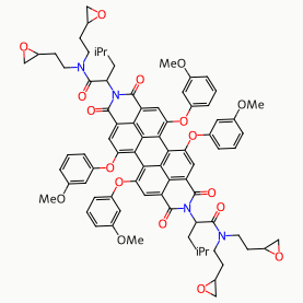 COc1cccc(Oc2cc3c4c(cc(Oc5cccc(OC)c5)c5c6c(Oc7cccc(OC)c7)cc7c8c(cc(Oc9cccc(OC)c9)c(c2c45)c86)C(=O)N(C(CC(C)C)C(=O)N(CCC2CO2)CCC2CO2)C7=O)C(=O)N(C(CC(C)C)C(=O)N(CCC2CO2)CCC2CO2)C3=O)c1